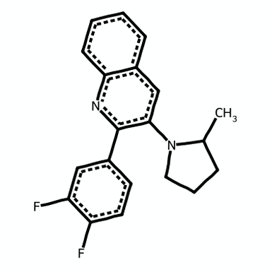 CC1CCCN1c1cc2ccccc2nc1-c1ccc(F)c(F)c1